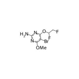 COc1nc(N)nc(OC(F)CF)c1Br